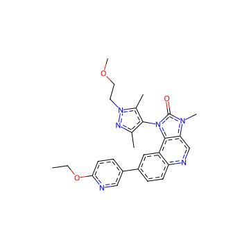 CCOc1ccc(-c2ccc3ncc4c(c3c2)n(-c2c(C)nn(CCOC)c2C)c(=O)n4C)cn1